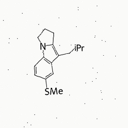 CSc1ccc2c(c1)c(CC(C)C)c1n2CCC1